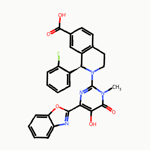 Cn1c(N2CCc3ccc(C(=O)O)cc3[C@@H]2c2ccccc2F)nc(-c2nc3ccccc3o2)c(O)c1=O